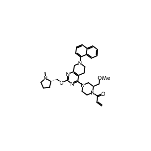 C=CC(=O)N1CCN(c2nc(OC[C@@H]3CCCN3C)nc3c2CCN(c2cccc4ccccc24)C3)CC1COC